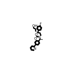 C[C@@H](c1ccc(-c2ccccn2)cc1)N1CC[C@](CCCO)(c2ccc(F)cc2)OC1=O